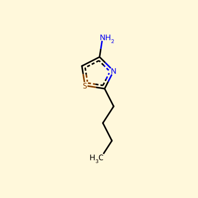 CCCCc1nc(N)cs1